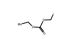 CCC(C)COC(=O)OCI